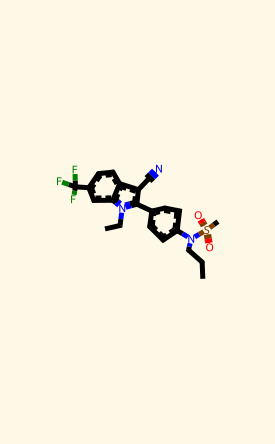 CCCN(c1ccc(-c2c(C#N)c3ccc(C(F)(F)F)cc3n2CC)cc1)S(C)(=O)=O